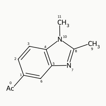 CC(=O)c1ccc2c(c1)nc(C)n2C